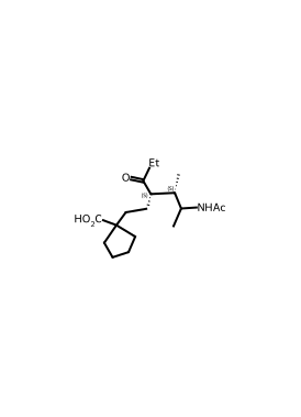 CCC(=O)[C@@H](CCC1(C(=O)O)CCCC1)[C@H](C)C(C)NC(C)=O